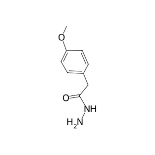 COc1ccc(CC(=O)NN)cc1